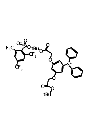 CC(C)(C)OC(=O)COc1cc(OCC(=O)OC(C)(C)C)cc([S+](c2ccccc2)c2ccccc2)c1.O=S(=O)([O-])c1c(C(F)(F)F)cc(C(F)(F)F)cc1C(F)(F)F